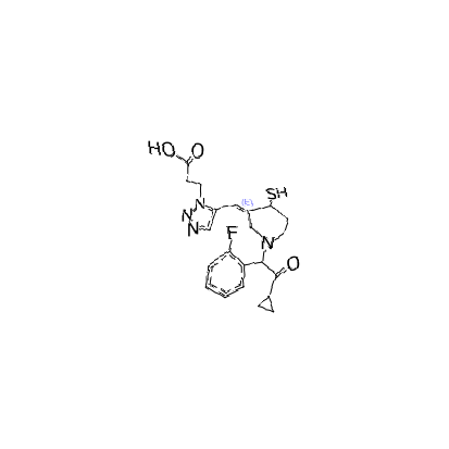 O=C(O)CCn1nncc1/C=C1\CN(C(C(=O)C2CC2)c2ccccc2F)CCC1S